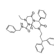 CCN1CC(=O)N2[C@@H](c3ccccc3)C(=O)N(CCC(c3ccccc3)c3ccccc3)C[C@@H]2N1C(=O)NCc1ccccc1